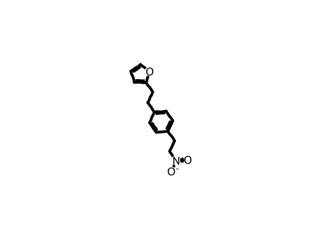 O=[N+]([O-])CCc1ccc(CCc2ccco2)cc1